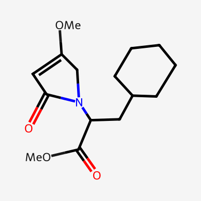 COC(=O)C(CC1CCCCC1)N1CC(OC)=CC1=O